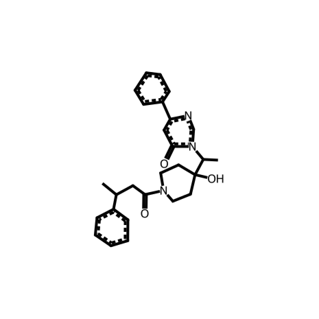 CC(CC(=O)N1CCC(O)(C(C)n2cnc(-c3ccccc3)cc2=O)CC1)c1ccccc1